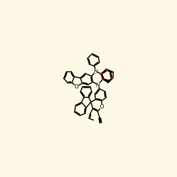 C#CC1=C(/C=C\C)C2(c3cc(N(c4ccccc4)c4cc5oc6ccccc6c5cc4N(c4ccccc4)c4ccccc4)ccc3O1)c1ccccc1-c1ccccc12